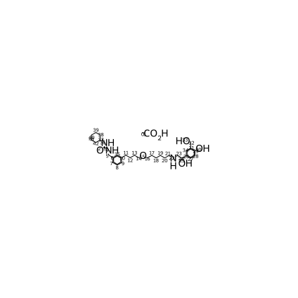 CC(=O)O.O=C(NCc1cccc(CCCCOCCCCCCNC[C@H](O)c2ccc(O)c(CO)c2)c1)NC1CCCCC1